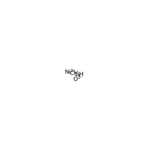 C.[LiH].[Ni+2].[O-2]